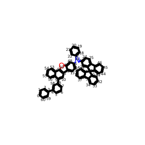 c1ccc(-c2cccc(-c3cc4c5ccc(N(c6ccccc6)c6ccc7c(c6)C6(c8ccccc8-c8ccccc86)c6ccccc6-7)cc5oc4c4ccccc34)c2)cc1